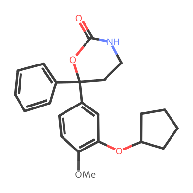 COc1ccc(C2(c3ccccc3)CCNC(=O)O2)cc1OC1CCCC1